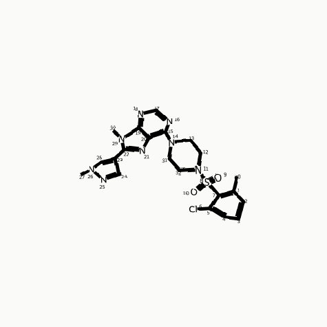 Cc1cccc(Cl)c1S(=O)(=O)N1CCN(c2ncnc3c2nc(-c2cnn(C)c2)n3C)CC1